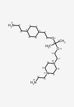 CC(C)(OCCC1CCC(CCN)CC1)OCCN1CCN(CCN)CC1